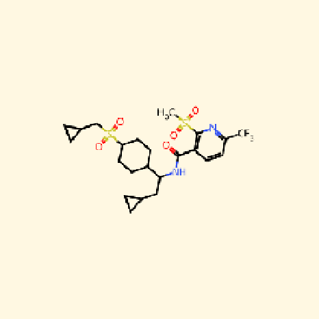 CS(=O)(=O)c1nc(C(F)(F)F)ccc1C(=O)NC(CC1CC1)C1CCC(S(=O)(=O)CC2CC2)CC1